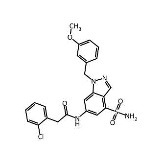 COc1cccc(Cn2ncc3c(S(N)(=O)=O)cc(NC(=O)Cc4ccccc4Cl)cc32)c1